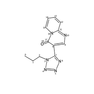 CCCn1nnnc1-c1cnc2ccccn2c1=O